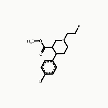 COC(=O)C1CN(CCF)CCC1c1ccc(Cl)cc1